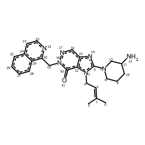 CC(C)=CCn1c(N2CCCC(N)C2)nc2cnn(Cc3nccc4ccccc34)c(=O)c21